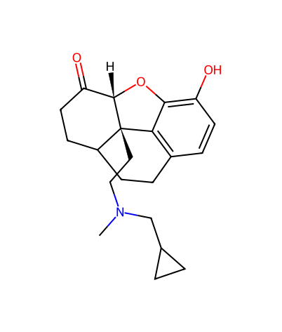 CN(CC[C@]12c3c4ccc(O)c3O[C@H]1C(=O)CCC2CC4)CC1CC1